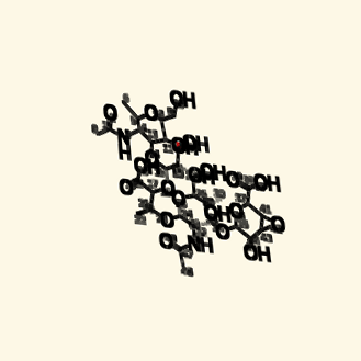 CC(=O)NC1C(C)OC(CO)C(O)C1OC(OC(C(=O)O)[C@H](C)OC(OC(CO)[C@H](C)O)[C@H](COC1OC(C(=O)O)C2OC2C1O)NC(C)=O)[C@@H](O)CO